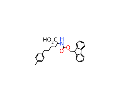 Cc1ccc(CCCC[C@H](NC(=O)OCC2c3ccccc3-c3ccccc32)C(=O)O)cc1